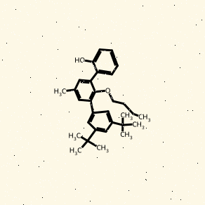 CCCCOc1c(-c2cc(C(C)(C)C)cc(C(C)(C)C)c2)cc(C)cc1-c1ccccc1O